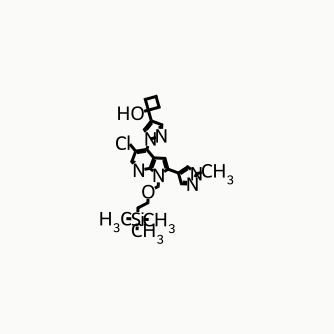 Cn1cc(-c2cc3c(-n4cc(C5(O)CCC5)cn4)c(Cl)cnc3n2COCC[Si](C)(C)C)cn1